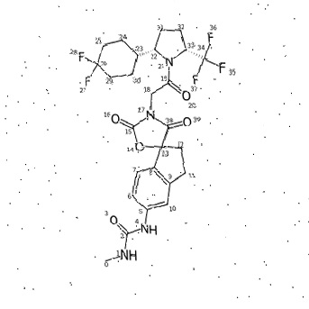 CNC(=O)Nc1ccc2c(c1)CCC21OC(=O)N(CC(=O)N2[C@H](C3CCC(F)(F)CC3)CC[C@@H]2C(F)(F)F)C1=O